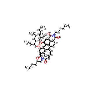 C=c1c2cc(OCC(CC)CCCC)c3c1c(c1ccc4c5c(cc(OCC(CC)CCCC)c3c15)C(=O)N(CCCCC)C4=O)/C=C\CC(=O)N(CCCCC)C2=O